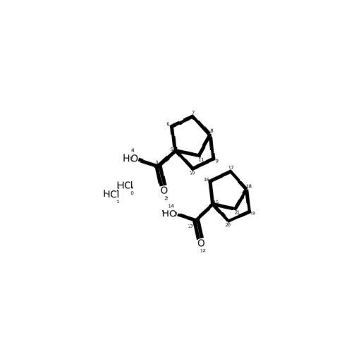 Cl.Cl.O=C(O)C12CCC(CC1)C2.O=C(O)C12CCC(CC1)C2